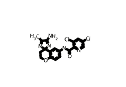 CC1=NC2(CCOc3ccc([N]C(=O)c4ncc(Cl)cc4Cl)cc32)N=C1N